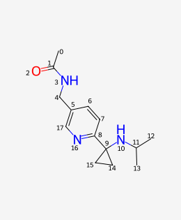 CC(=O)NCc1ccc(C2(NC(C)C)CC2)nc1